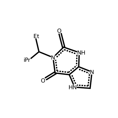 CCC(C(C)C)n1c(=O)[nH]c2nc[nH]c2c1=O